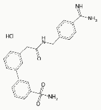 Cl.N=C(N)c1ccc(CNC(=O)Cc2cccc(-c3cccc(S(N)(=O)=O)c3)c2)cc1